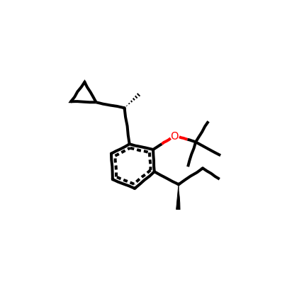 CC[C@@H](C)c1cccc([C@@H](C)C2CC2)c1OC(C)(C)C